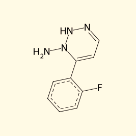 NN1NN=CC=C1c1ccccc1F